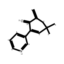 C=C1CC(C)(C)C=C(c2cccnc2)C1=O